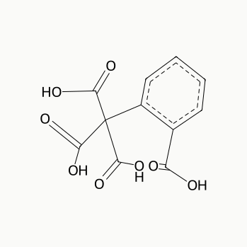 O=C(O)c1ccccc1C(C(=O)O)(C(=O)O)C(=O)O